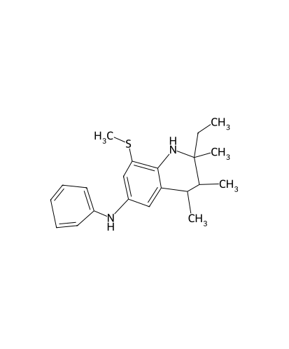 CCC1(C)Nc2c(SC)cc(Nc3ccccc3)cc2C(C)C1C